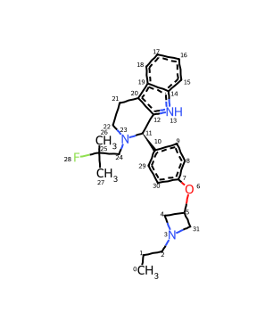 CCCN1CC(Oc2ccc([C@@H]3c4[nH]c5ccccc5c4CCN3CC(C)(C)F)cc2)C1